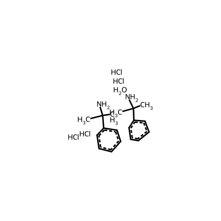 CC(C)(N)c1ccccc1.CC(C)(N)c1ccccc1.Cl.Cl.Cl.Cl.O